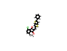 Cc1ccc(Cl)c2c1C(=O)/C(=C/c1cc3sc(-c4ccccc4)cc3s1)C2=O